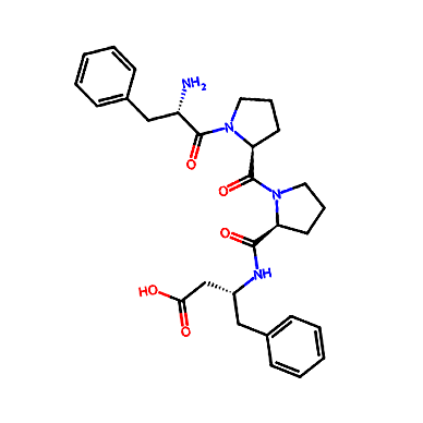 N[C@@H](Cc1ccccc1)C(=O)N1CCC[C@H]1C(=O)N1CCC[C@H]1C(=O)N[C@@H](CC(=O)O)Cc1ccccc1